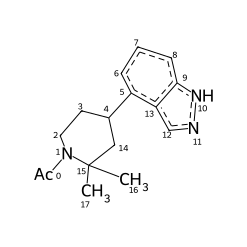 CC(=O)N1CCC(c2cccc3[nH]ncc23)CC1(C)C